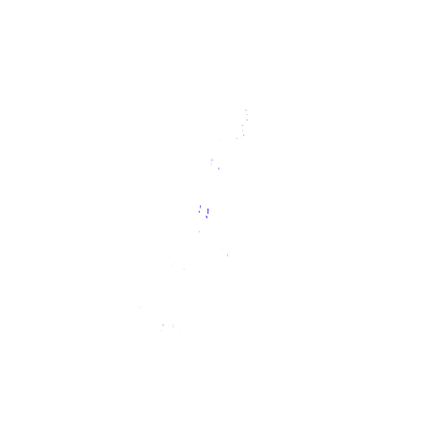 Nc1ccccc1OCC(=O)N1CCN(Cc2ccc(Cl)cc2)CC1